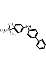 C[Si](C)(C)c1ccc(Nc2ccc(-c3ccccc3)cc2)cc1